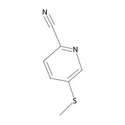 CSc1ccc(C#N)nc1